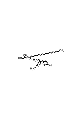 CCCCCC(CC)(CC)OC(=O)/C=C\C(=O)O.CCCCCCCCCCCCCCCCCC(=O)OCC(O)CO